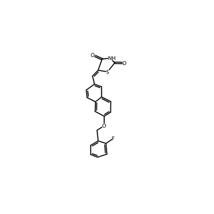 O=C1NC(=O)C(=Cc2ccc3cc(OCc4ccccc4F)ccc3c2)S1